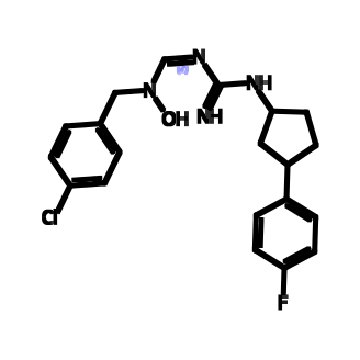 N=C(/N=C\N(O)Cc1ccc(Cl)cc1)NC1CCC(c2ccc(F)cc2)C1